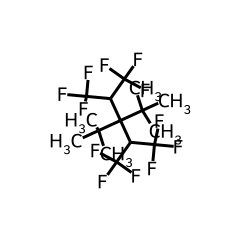 CC(C)(C)C(C(C(F)(F)F)C(F)(F)F)(C(C(F)(F)F)C(F)(F)F)C(C)(C)C